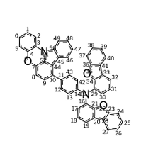 c1ccc2c(c1)Oc1ccc(-c3ccc(N(c4cccc5c4oc4ccccc45)c4cccc5c4oc4ccccc45)cc3)c3c4ccccc4n-2c13